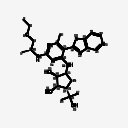 CCOC[C@@H](C)Nc1nc(C)c(-c2nc3cnccc3s2)c(NC2C[C@H](C(C)(C)O)[C@@H](O)[C@H]2O)n1